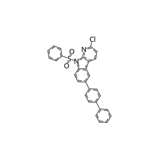 O=S(=O)(c1ccccc1)n1c2ccc(-c3ccc(-c4ccccc4)cc3)cc2c2ccc(Cl)nc21